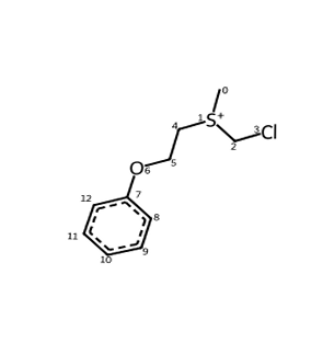 C[S+](CCl)CCOc1ccccc1